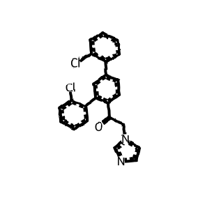 O=C(Cn1ccnc1)c1ccc(-c2ccccc2Cl)cc1-c1ccccc1Cl